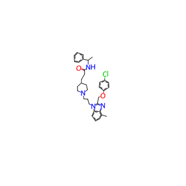 Cc1cccc2c1nc(COc1ccc(Cl)cc1)n2CCCN1CCC(CCC(=O)NC(C)c2ccccc2)CC1